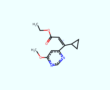 CCOC(=O)/C=C(\c1cc(OC)ncn1)C1CC1